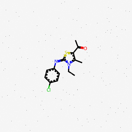 CCn1c(C)c(C(C)=O)sc1=Nc1ccc(Cl)cc1